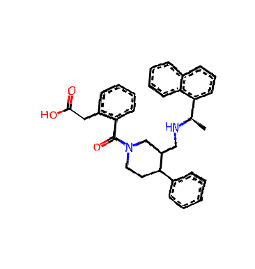 C[C@@H](NCC1CN(C(=O)c2ccccc2CC(=O)O)CCC1c1ccccc1)c1cccc2ccccc12